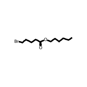 CCCCCCOC(=O)CCCCBr